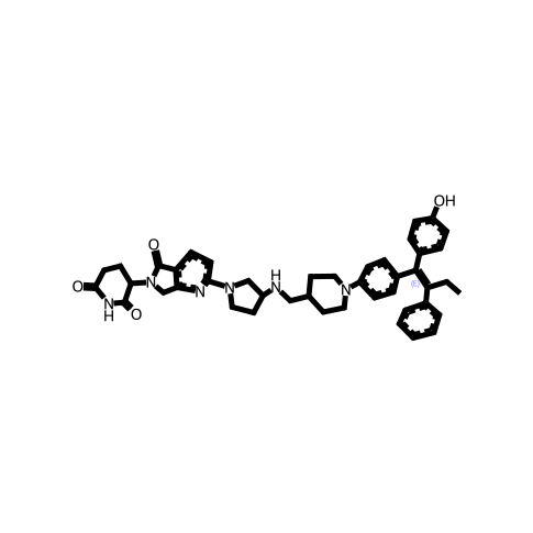 CC/C(=C(\c1ccc(O)cc1)c1ccc(N2CCC(CNC3CCN(c4ccc5c(n4)CN(C4CCC(=O)NC4=O)C5=O)C3)CC2)cc1)c1ccccc1